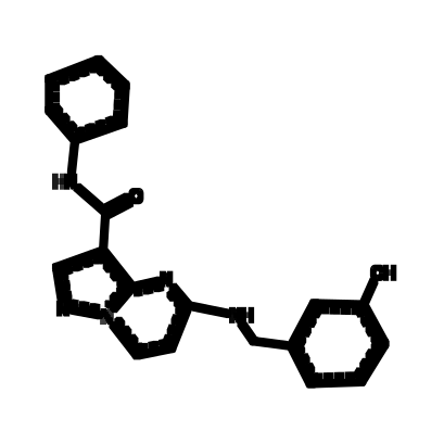 O=C(Nc1ccccc1)c1cnn2ccc(NCc3cccc(O)c3)nc12